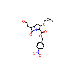 CCSC1CC2C(CC=O)C(=O)N2C1C(=O)OCc1ccc([N+](=O)[O-])cc1